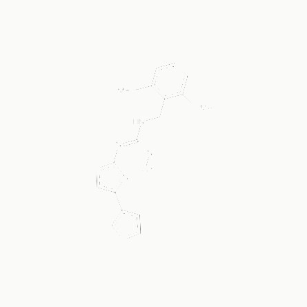 COc1cccc(OC)c1CNC(=Nc1nc(-c2ccsc2)cs1)NOC(C)=O